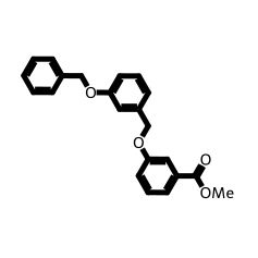 COC(=O)c1cccc(OCc2cccc(OCc3ccccc3)c2)c1